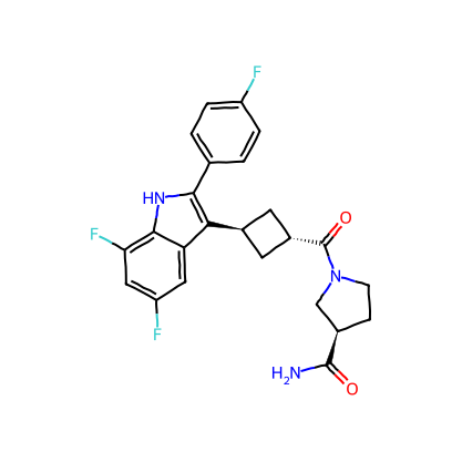 NC(=O)[C@@H]1CCN(C(=O)[C@H]2C[C@H](c3c(-c4ccc(F)cc4)[nH]c4c(F)cc(F)cc43)C2)C1